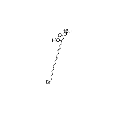 CC(C)(C)OC(=O)CC(O)CCC=CCC=CCC=CCCCCCBr